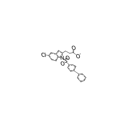 COC(=O)CCc1cc2cc(Cl)ccc2n1S(=O)(=O)c1ccc(-c2ccccc2)cc1